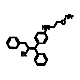 CCCOCCNc1ccc(C(=C(CC)Cc2ccccc2)c2ccccc2)cc1